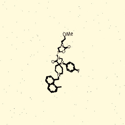 COCCN1C[C@@H](CN2CN(c3ccc(F)cc3)C3(CCN(Cc4cccc5cccc(C)c45)CC3)C2=O)OC1=O